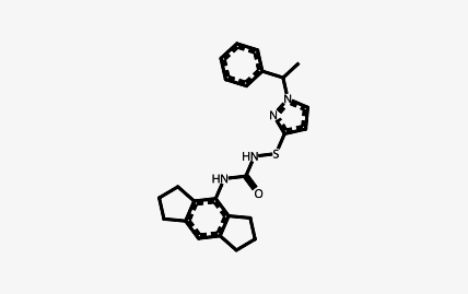 CC(c1ccccc1)n1ccc(SNC(=O)Nc2c3c(cc4c2CCC4)CCC3)n1